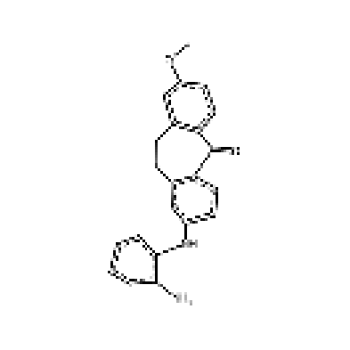 COc1ccc2c(c1)CCc1cc(Nc3ccccc3N)ccc1C2=O